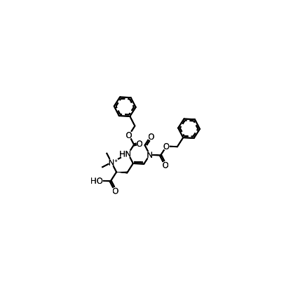 C[N+](C)(C)[C@@H](C/C(=C/N(C=O)C(=O)OCc1ccccc1)NC(=O)OCc1ccccc1)C(=O)O